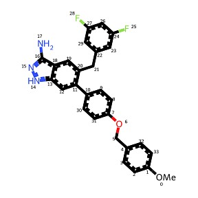 COc1ccc(COc2ccc(-c3cc4[nH]nc(N)c4cc3Cc3cc(F)cc(F)c3)cc2)cc1